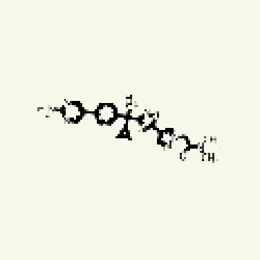 CN(C)C(=O)Cn1cc(-c2nc(C(C)(c3ccc(-c4cnc(N)nc4)cc3)C3CC3)no2)cn1